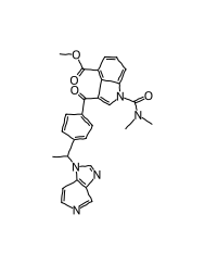 COC(=O)c1cccc2c1c(C(=O)c1ccc(C(C)n3cnc4cnccc43)cc1)cn2C(=O)N(C)C